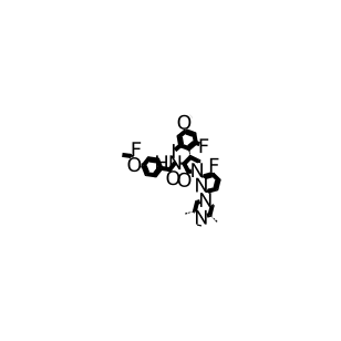 COc1cc(F)c([C@@H]2CN(c3nc(N4C[C@@H](C)N(C)[C@@H](C)C4)ccc3F)C(=O)[C@H]2NC(=O)c2ccc(OC(C)F)cc2)c(I)c1